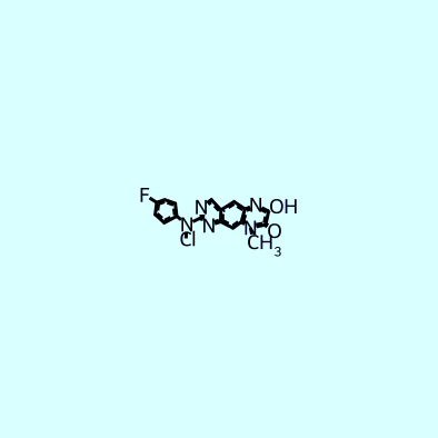 Cn1c(=O)c(O)nc2cc3cnc(N(Cl)c4ccc(F)cc4)nc3cc21